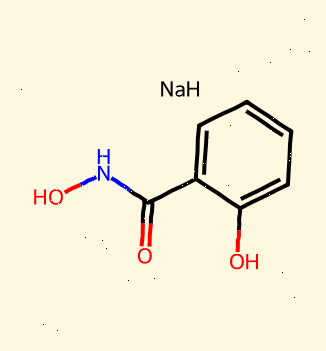 O=C(NO)c1ccccc1O.[NaH]